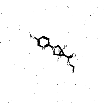 CCOC(=O)C1[C@H]2CN(c3ccc(Br)cn3)C[C@@H]12